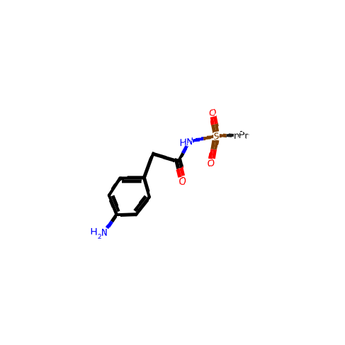 CCCS(=O)(=O)NC(=O)Cc1ccc(N)cc1